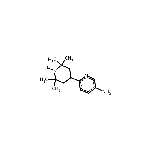 CC1(C)CC(c2ccc(N)cn2)CC(C)(C)[S+]1[O-]